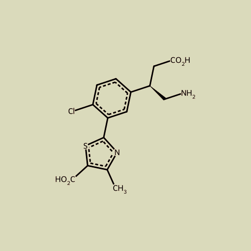 Cc1nc(-c2cc([C@H](CN)CC(=O)O)ccc2Cl)sc1C(=O)O